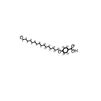 O=CCCCCCCCCCCCCCCCOc1ccc(C(=O)O)cc1